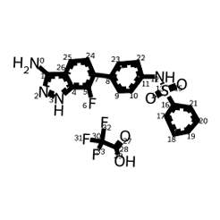 Nc1n[nH]c2c(F)c(-c3ccc(NS(=O)(=O)c4ccccc4)cc3)ccc12.O=C(O)C(F)(F)F